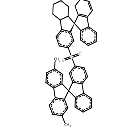 Cc1ccc2c(c1)C1(c3ccccc3-c3ccc(S(=O)(=O)c4ccc5c(c4)[C@]4(C6=C(C=CCC6)c6ccccc64)C4CCCCC54)cc31)c1cc(C)ccc1-2